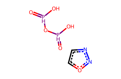 O=[PH](O)O[PH](=O)O.c1conn1